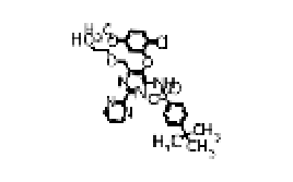 COc1ccc(Cl)c(Oc2c(COCCO)nc(-c3ncccn3)nc2NS(=O)(=O)c2ccc(C(C)(C)C)cc2)c1